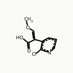 COC=C(C(=O)O)c1cccnc1Cl